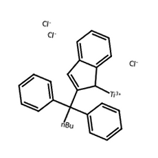 CCCCC(C1=Cc2ccccc2[CH]1[Ti+3])(c1ccccc1)c1ccccc1.[Cl-].[Cl-].[Cl-]